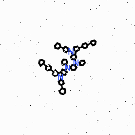 C1=C(c2ccc(-c3ccccc3)cc2)CCc2c1c1cc(N(c3ccccc3)c3cccc(N(c4ccccc4)c4ccc5c(c4)c4cc(-c6ccc(-c7ccccc7)cc6)ccc4n5-c4ccc(-c5ccccc5)cc4)c3)ccc1n2-c1ccc(-c2ccccc2)cc1